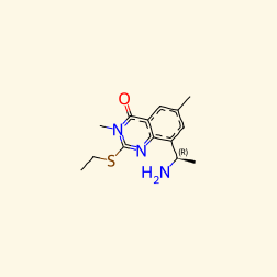 CCSc1nc2c([C@@H](C)N)cc(C)cc2c(=O)n1C